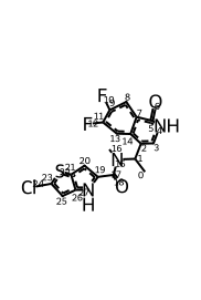 CC(c1c[nH]c(=O)c2cc(F)c(F)cc12)N(C)C(=O)c1cc2sc(Cl)cc2[nH]1